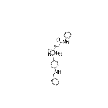 CCn1c(SCC(=O)Nc2ccccc2)nnc1-c1ccc(NCc2ccccc2)cc1